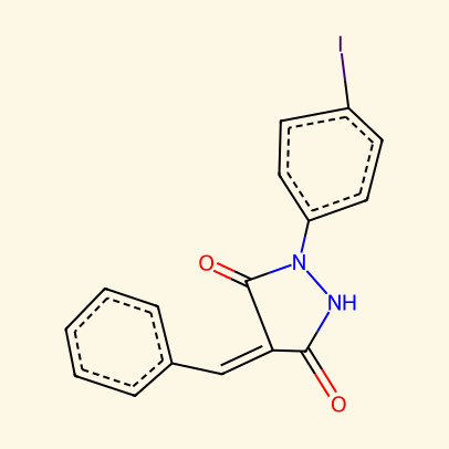 O=C1NN(c2ccc(I)cc2)C(=O)/C1=C\c1ccccc1